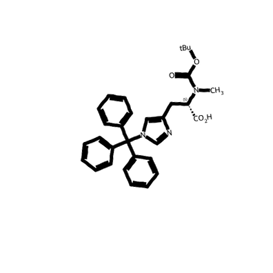 CN(C(=O)OC(C)(C)C)[C@@H](Cc1cn(C(c2ccccc2)(c2ccccc2)c2ccccc2)cn1)C(=O)O